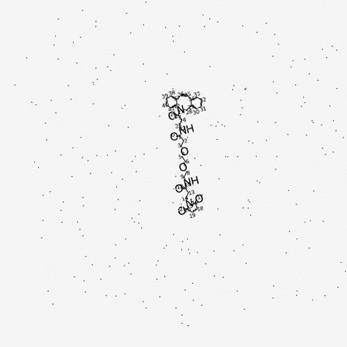 O=C(CCOCCOCCNC(=O)CCN1C(=O)C=CC1=O)NCCC(=O)N1Cc2ccccc2C#Cc2ccccc21